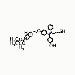 CC(C)(C)OC(=O)N1CC2CN(CCOc3ccc(/C(=C(/CCCS)c4ccccc4)c4ccc(O)cc4)cc3)C[C@@H]2C1